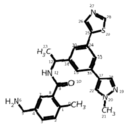 Cc1ccc(CN)cc1C(=O)NC(C)c1cc(-c2cnn(C)c2)cc(-c2cncs2)c1